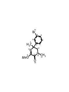 COC1=NC(C)(c2cccc(Br)c2)CN(C)C1=O